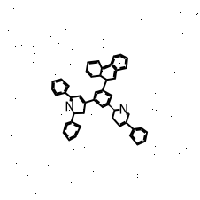 C1=CC2=c3ccccc3=CC(c3cc(C4=CC(c5ccccc5)=NC(c5ccccc5)C4)cc([C@@H]4CC=C(c5ccccc5)C=N4)c3)C2C=C1